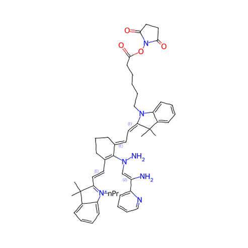 CCC[N+]1=C(/C=C/C2=C(N(N)/C=C(\N)c3ccccn3)C(=C/C=C3/N(CCCCCC(=O)ON4C(=O)CCC4=O)c4ccccc4C3(C)C)/CCC2)C(C)(C)c2ccccc21